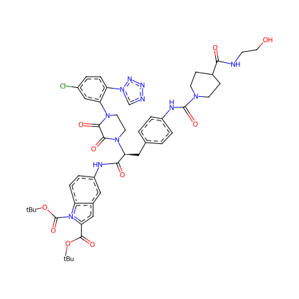 CC(C)(C)OC(=O)c1cc2cc(NC(=O)[C@H](Cc3ccc(NC(=O)N4CCC(C(=O)NCCO)CC4)cc3)N3CCN(c4cc(Cl)ccc4-n4cnnn4)C(=O)C3=O)ccc2n1C(=O)OC(C)(C)C